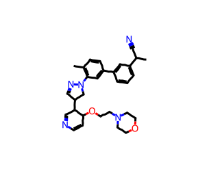 Cc1ccc(-c2cccc(C(C)C#N)c2)cc1N1CC(C2C=NC=CC2OCCN2CCOCC2)C=N1